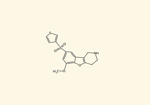 COc1cc(S(=O)(=O)c2ccsc2)cc2c3c(oc12)CCNC3